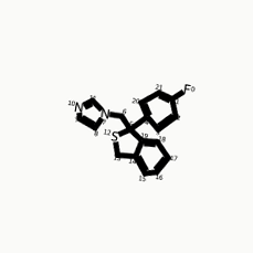 Fc1ccc(C2(Cn3ccnc3)SCc3ccccc32)cc1